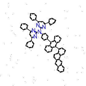 c1ccc(-c2cc(-c3ccccc3)nc(N(c3ccc(-c4c5ccccc5c(-c5cccc6c5ccc5cc7ccccc7cc56)c5ccccc45)cc3)c3nc(-c4ccccc4)cc(-c4ccccc4)n3)n2)cc1